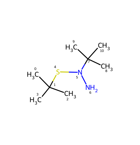 CC(C)(C)SN(N)C(C)(C)C